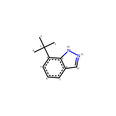 CC(C)(C)c1cccc2c1[N]N=C2